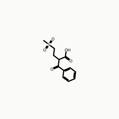 CS(=O)(=O)CCC(C(=O)O)C(=O)c1ccccc1